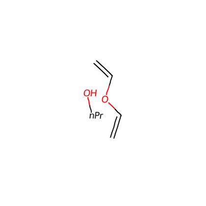 C=COC=C.CCCO